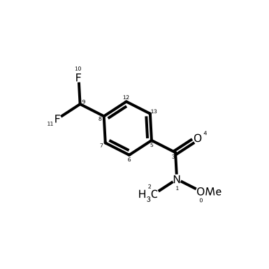 CON(C)C(=O)c1ccc(C(F)F)cc1